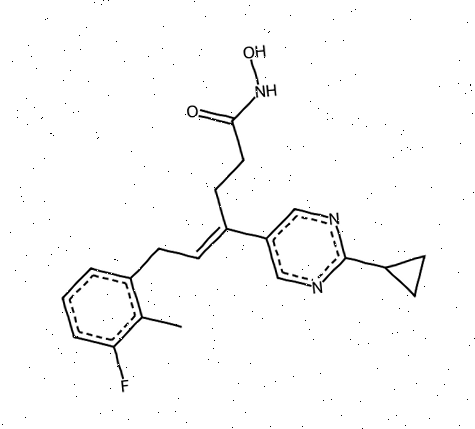 Cc1c(F)cccc1C/C=C(\CCC(=O)NO)c1cnc(C2CC2)nc1